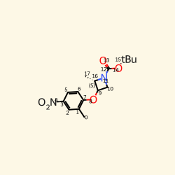 Cc1cc([N+](=O)[O-])ccc1OC1CN(C(=O)OC(C)(C)C)[C@H]1C